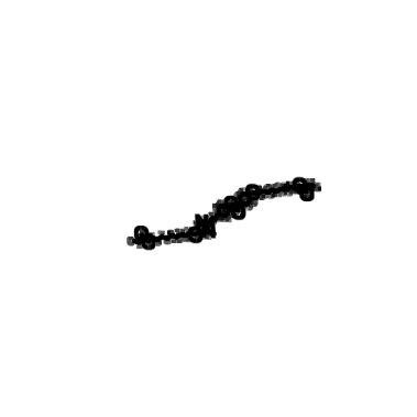 C=CC(=O)OCCCCCCCCCOc1cnc(C#Cc2ccc(OC(=O)C3CCC(OCCCCCCCCCOC(=O)C=C)CC3)cc2)nc1